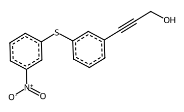 O=[N+]([O-])c1cccc(Sc2cccc(C#CCO)c2)c1